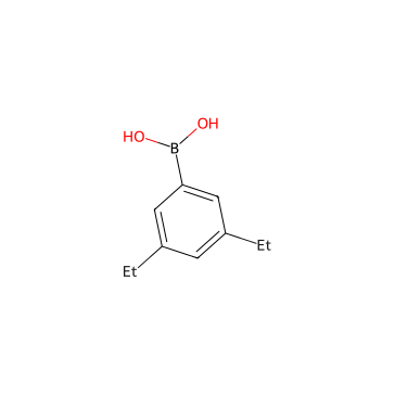 CCc1cc(CC)cc(B(O)O)c1